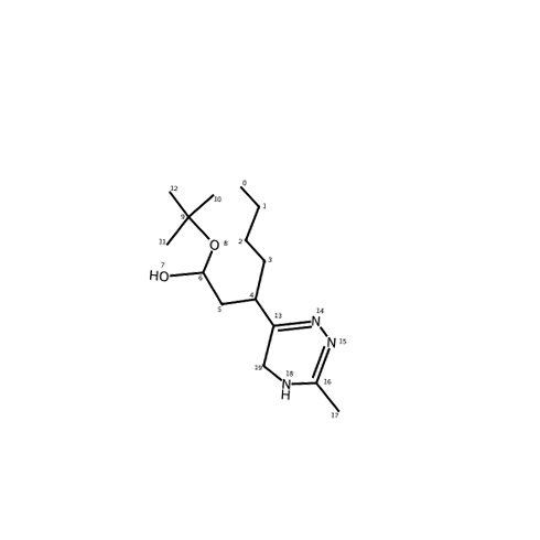 CCCCC(CC(O)OC(C)(C)C)C1=NN=C(C)NC1